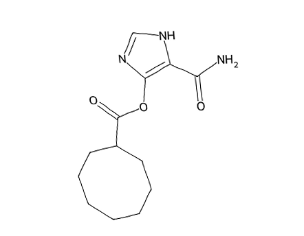 NC(=O)c1[nH]cnc1OC(=O)C1CCCCCCC1